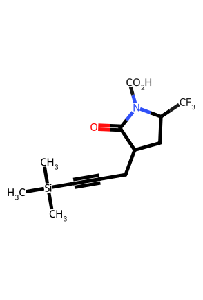 C[Si](C)(C)C#CCC1CC(C(F)(F)F)N(C(=O)O)C1=O